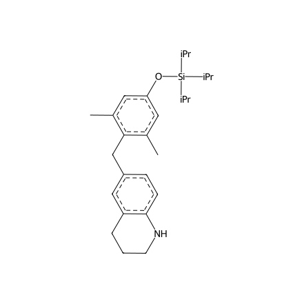 Cc1cc(O[Si](C(C)C)(C(C)C)C(C)C)cc(C)c1Cc1ccc2c(c1)CCCN2